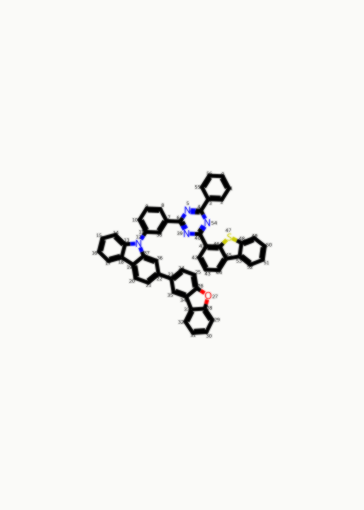 c1ccc(-c2nc(-c3cccc(-n4c5ccccc5c5ccc(-c6ccc7oc8ccccc8c7c6)cc54)c3)nc(-c3cccc4c3sc3ccccc34)n2)cc1